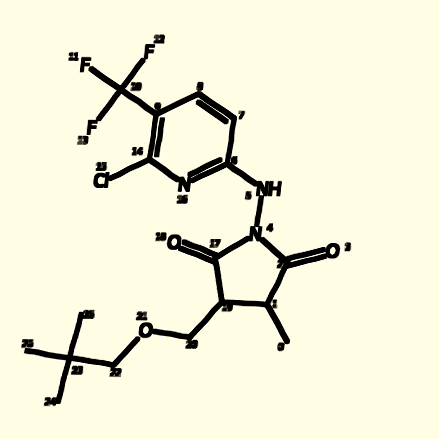 CC1C(=O)N(Nc2ccc(C(F)(F)F)c(Cl)n2)C(=O)C1COCC(C)(C)C